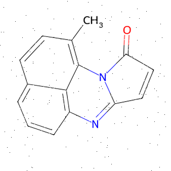 Cc1ccc2cccc3c2c1N1C(=O)C=CC1=N3